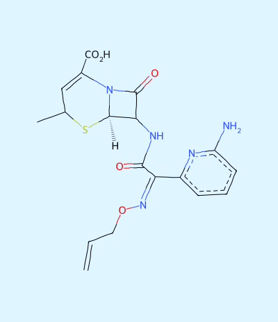 C=CCO/N=C(\C(=O)NC1C(=O)N2C(C(=O)O)=CC(C)S[C@H]12)c1cccc(N)n1